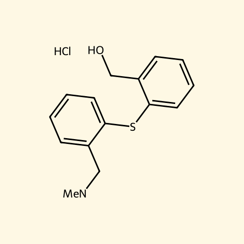 CNCc1ccccc1Sc1ccccc1CO.Cl